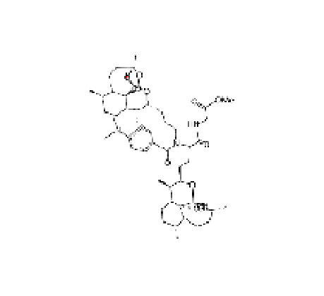 COC(=O)CNC(=O)C(CC[C@H]1O[C@@H]2O[C@]3(C)CCC4[C@H](C)CCC([C@H]1C)[C@]42OO3)N(CCC[C@H]1O[C@@H]2O[C@]3(C)CCC4[C@H](C)CCC([C@H]1C)[C@]42OO3)C(=O)c1ccc(N(C)C)cc1